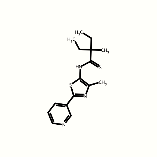 CCC(C)(CC)C(=S)Nc1sc(-c2cccnc2)nc1C